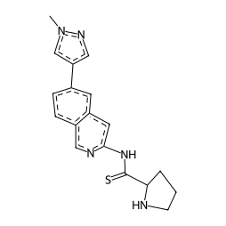 Cn1cc(-c2ccc3cnc(NC(=S)C4CCCN4)cc3c2)cn1